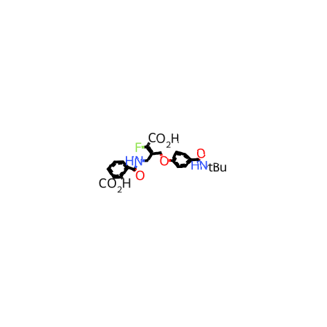 CC(C)(C)NC(=O)c1ccc(OC/C(CNC(=O)c2ccccc2C(=O)O)=C(/F)C(=O)O)cc1